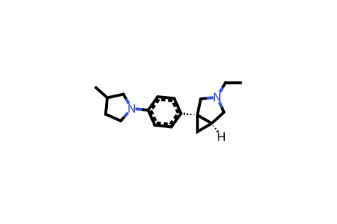 CCN1C[C@H]2C[C@@]2(c2ccc(N3CCC(C)C3)cc2)C1